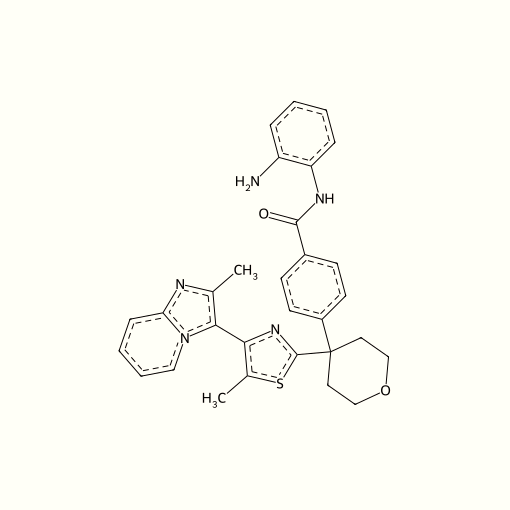 Cc1nc2ccccn2c1-c1nc(C2(c3ccc(C(=O)Nc4ccccc4N)cc3)CCOCC2)sc1C